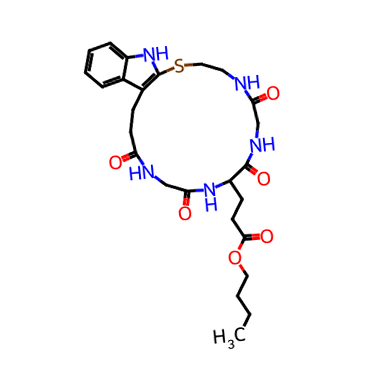 CCCCOC(=O)CCC1NC(=O)CNC(=O)CCc2c([nH]c3ccccc23)SCCNC(=O)CNC1=O